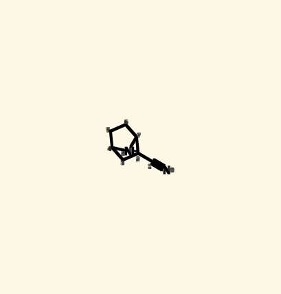 N#CC1CC2CCC1N2